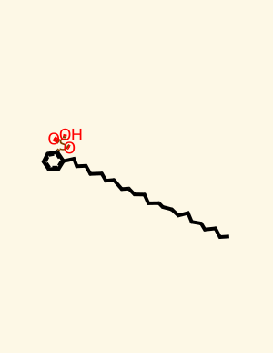 CCCCCCCCCCCCCCCCCCCCCCCc1ccccc1S(=O)(=O)O